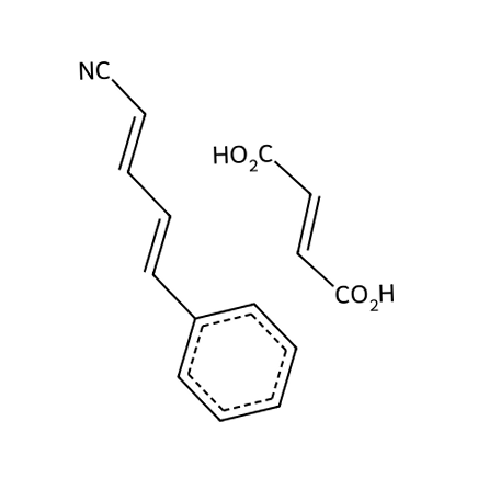 N#CC=CC=Cc1ccccc1.O=C(O)C=CC(=O)O